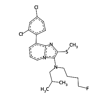 CSc1nc2c(-c3ccc(Cl)cc3Cl)cccn2c1N(CCCCF)CC(C)C